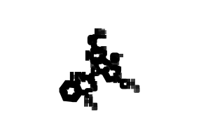 CCOc1nnc([N+]2([O-])CN(C)CC2OC(=S)Nc2ccccc2C)s1